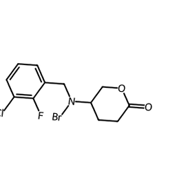 O=C1CCC(N(Br)Cc2cccc(Cl)c2F)CO1